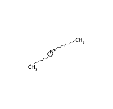 CCCCCCCCCCCC[n+]1ccc(CCCCCCCCC)cc1